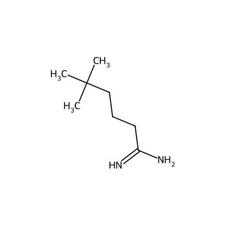 CC(C)(C)CCCC(=N)N